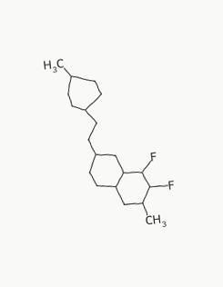 CC1CCC(CCC2CCC3CC(C)C(F)C(F)C3C2)CC1